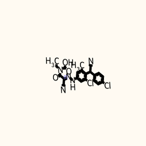 CCN(C(=O)O)C(=O)/C(C#N)=N/Nc1cc(C)c(C(C#N)c2ccc(Cl)cc2)c(Cl)c1